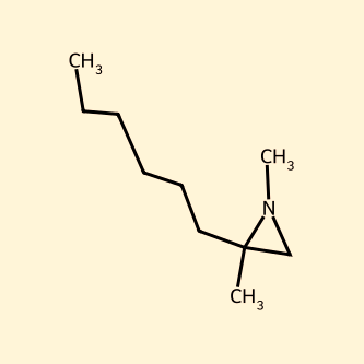 CCCCCCC1(C)CN1C